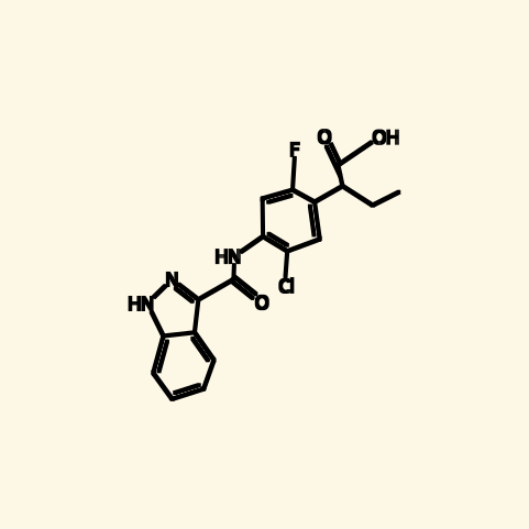 CCC(C(=O)O)c1cc(Cl)c(NC(=O)c2n[nH]c3ccccc23)cc1F